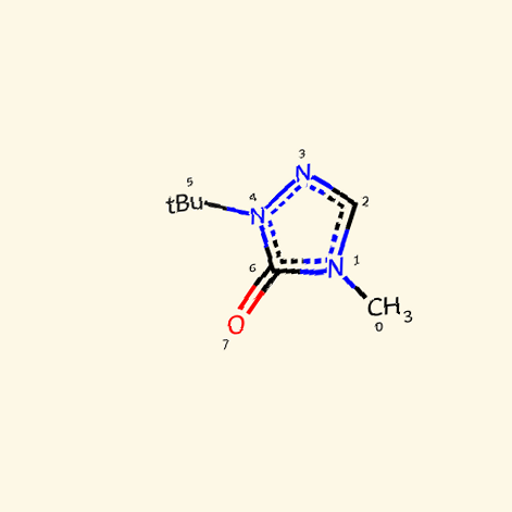 Cn1cnn(C(C)(C)C)c1=O